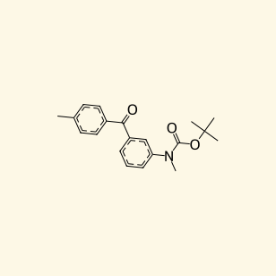 Cc1ccc(C(=O)c2cccc(N(C)C(=O)OC(C)(C)C)c2)cc1